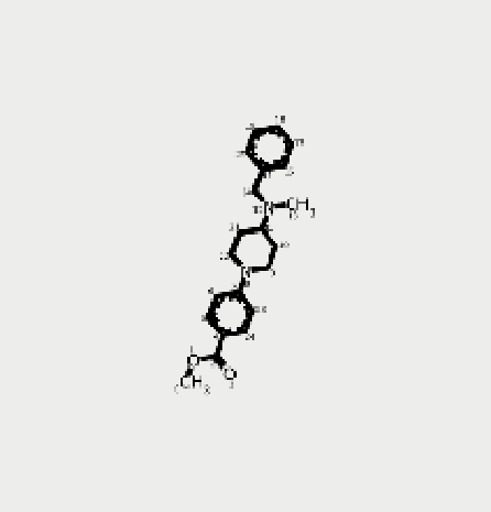 COC(=O)c1ccc(N2CCC(N(C)Cc3ccccc3)CC2)cc1